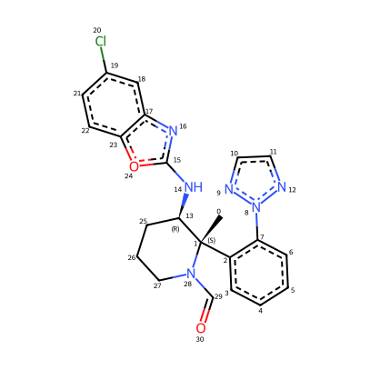 C[C@]1(c2ccccc2-n2nccn2)[C@H](Nc2nc3cc(Cl)ccc3o2)CCCN1C=O